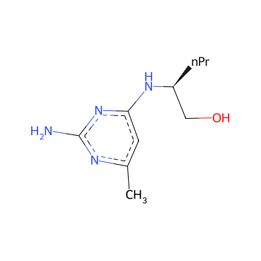 CCC[C@@H](CO)Nc1cc(C)nc(N)n1